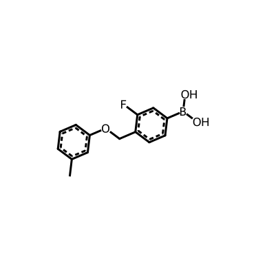 Cc1cccc(OCc2ccc(B(O)O)cc2F)c1